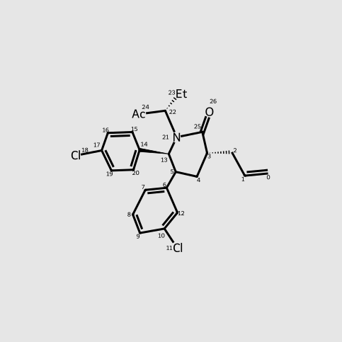 C=CC[C@@H]1CC(c2cccc(Cl)c2)[C@@H](c2ccc(Cl)cc2)N([C@@H](CC)C(C)=O)C1=O